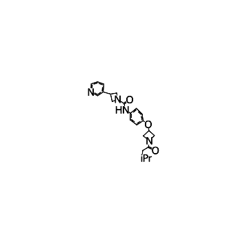 CC(C)CC(=O)N1CC(Oc2ccc(NC(=O)N3CC(c4cccnc4)C3)cc2)C1